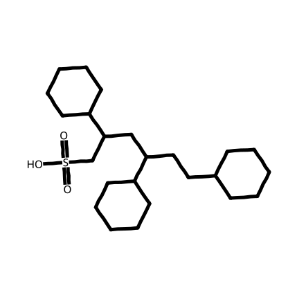 O=S(=O)(O)CC(CC(CCC1CCCCC1)C1CCCCC1)C1CCCCC1